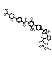 COC(=O)NC(C(=O)N1CCCC1c1nc(-c2ccc(-c3cc(Cl)c(NC(=O)c4ccc(N5CCN(C(=O)OC(C)(C)C)C[C@H]5C)nc4)cc3C(F)(F)F)cc2)c[nH]1)C(C)C